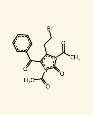 CC(=O)n1c(CCBr)c(C(=O)c2ccccc2)n(C(C)=O)c1=O